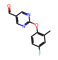 Cc1cc(F)ccc1Oc1ncc(C=O)cn1